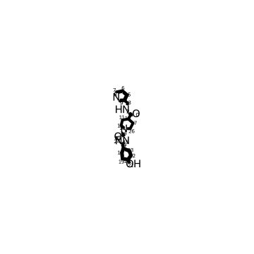 O=C(NCc1cccnc1)C1CCN(c2nc(-c3ccc(O)cc3)no2)CC1